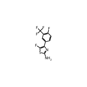 Nc1nc(-c2ccc(F)c(C(F)(F)F)c2)c(F)s1